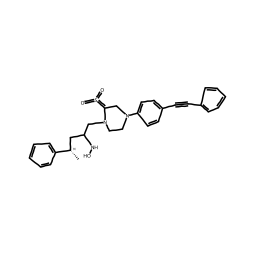 C[C@@H](CC(CN1CCN(c2ccc(C#Cc3ccccc3)cc2)CC1=S(=O)=O)NO)c1ccccc1